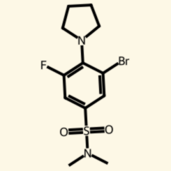 CN(C)S(=O)(=O)c1cc(F)c(N2CCCC2)c(Br)c1